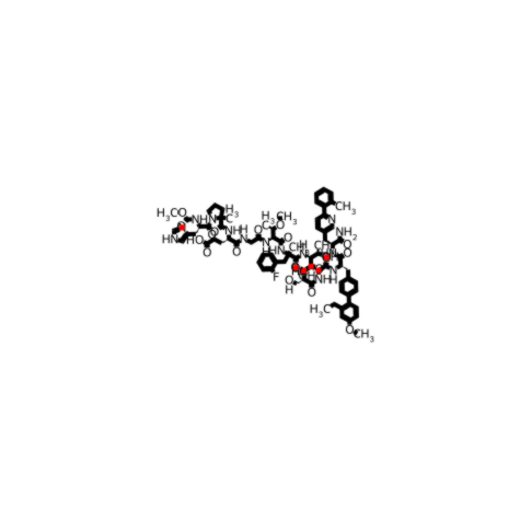 CCc1cc(OC)ccc1-c1ccc(C[C@H](NC(=O)[C@H](CC(=O)O)NC(=O)[C@H](CO)NC(=O)[C@@H](NC(=O)C(C)(Cc2ccccc2F)NC(=O)[C@@H](NC(=O)CNC(=O)[C@H](CCC(=O)O)NC(=O)C2(C)CCCN2C(=O)[C@H](Cc2c[nH]cn2)NC(=O)OC)[C@@H](C)OC)[C@@H](C)O)C(=O)N[C@@H](Cc2ccc(-c3ccccc3C)nc2)C(N)=O)cc1